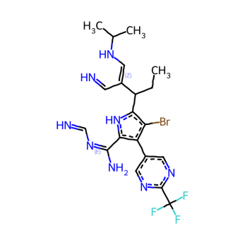 CCC(/C(C=N)=C/NC(C)C)c1[nH]c(/C(N)=N\C=N)c(-c2cnc(C(F)(F)F)nc2)c1Br